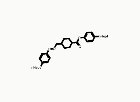 CCCCCCCc1ccc(OOCC2CCC(C(=O)Oc3ccc(CCCCCCC)cc3)CC2)cc1